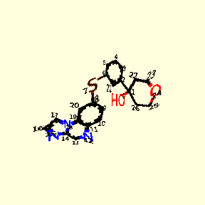 OC1(c2cccc(Sc3ccc4ncc5nccn5c4c3)c2)CCOCC1